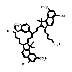 CC1(C)C(/C=C/C(=C/C=C2/N(CCCCS(=O)(=O)O)c3ccc4c(S(=O)(=O)O)cc(S(=O)(=O)O)cc4c3C2(C)C)c2cccc(CCC(=O)O)c2)=[N+](CCCCS(=O)(=O)O)c2ccc3c(S(=O)(=O)O)cc(S(=O)(=O)O)cc3c21